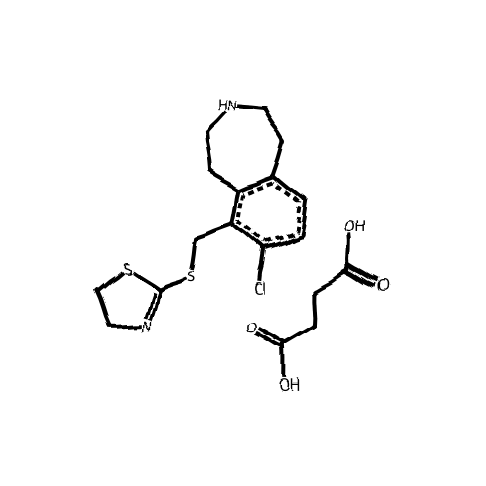 Clc1ccc2c(c1CSC1=NCCS1)CCNCC2.O=C(O)CCC(=O)O